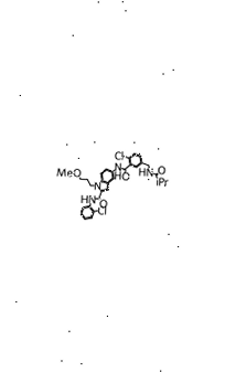 COCCCn1c(C(=O)Nc2ccccc2Cl)cc2cc(NC(=O)c3cc(CNC(=O)C(C)C)ccc3Cl)ccc21